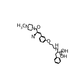 CN1CCN(C(=O)C(C#N)=Cc2cccc(OCCCNC(Cc3ccccc3)B(O)O)c2)CC1